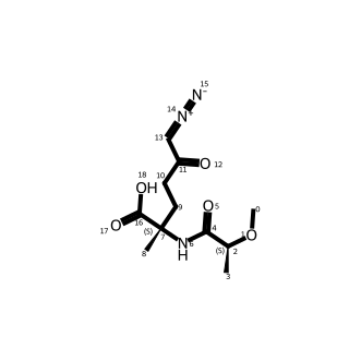 CO[C@@H](C)C(=O)N[C@@](C)(CCC(=O)C=[N+]=[N-])C(=O)O